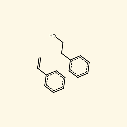 C=Cc1ccccc1.OCCc1ccccc1